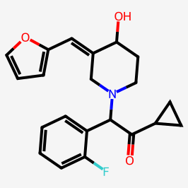 O=C(C1CC1)C(c1ccccc1F)N1CCC(O)C(=Cc2ccco2)C1